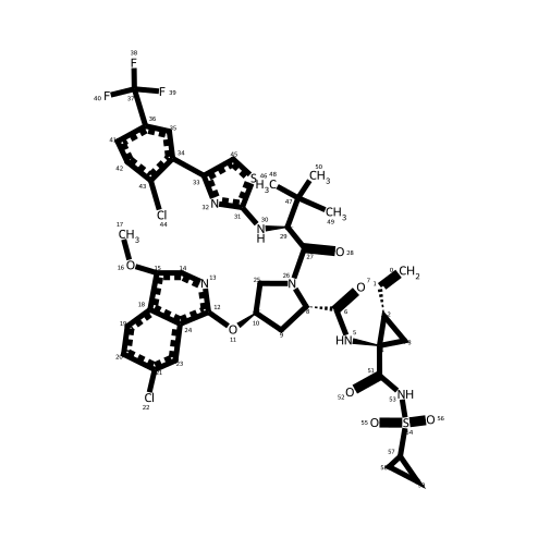 C=C[C@@H]1C[C@]1(NC(=O)[C@@H]1C[C@@H](Oc2ncc(OC)c3ccc(Cl)cc23)CN1C(=O)[C@@H](Nc1nc(-c2cc(C(F)(F)F)ccc2Cl)cs1)C(C)(C)C)C(=O)NS(=O)(=O)C1CC1